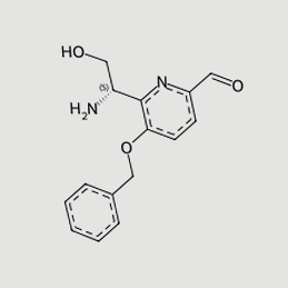 N[C@H](CO)c1nc(C=O)ccc1OCc1ccccc1